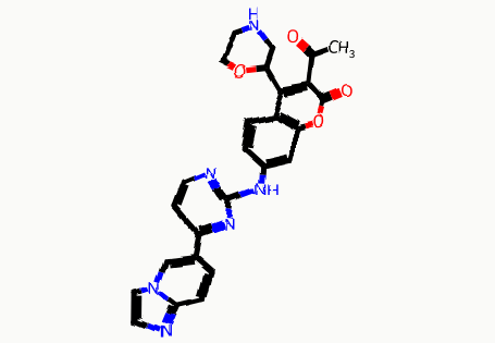 CC(=O)c1c(C2CNCCO2)c2ccc(Nc3nccc(-c4ccc5nccn5c4)n3)cc2oc1=O